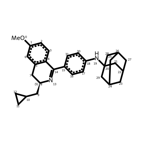 COc1ccc2c(c1)C[C@H](CC1CC1)N=C2c1ccc(NC23CC4CC(CC(C4)C2)C3)cc1